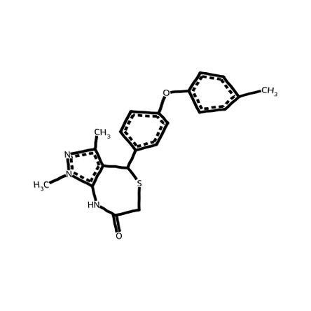 Cc1ccc(Oc2ccc(C3SCC(=O)Nc4c3c(C)nn4C)cc2)cc1